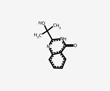 CC(C)(O)c1nc2ccccc2c(=O)[nH]1